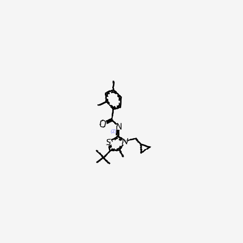 Cc1ccc(C(=O)/N=c2\sc(C(C)(C)C)c(C)n2CC2CC2)c(C)c1